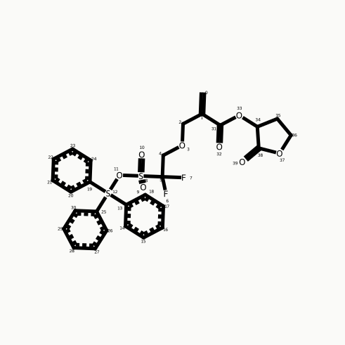 C=C(COCC(F)(F)S(=O)(=O)OS(c1ccccc1)(c1ccccc1)c1ccccc1)C(=O)OC1CCOC1=O